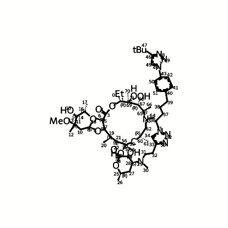 CC[C@H]1OC(=O)[C@H](C)[C@@H](O[C@H]2C[C@@](C)(OC)[C@@H](O)[C@H](C)O2)[C@H](C)[C@@H](O[C@@H]2O[C@H](C)C[C@H](N(C)CCc3cn(CCCCc4ccc(-n5cc(C(C)(C)C)nn5)cc4)nn3)[C@H]2O)[C@](C)(O)C[C@@H](C)CN(C)[C@H](C)[C@@H](O)[C@]1(C)O